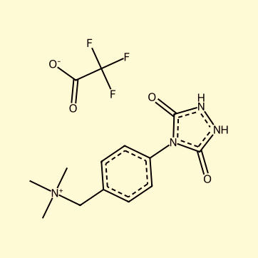 C[N+](C)(C)Cc1ccc(-n2c(=O)[nH][nH]c2=O)cc1.O=C([O-])C(F)(F)F